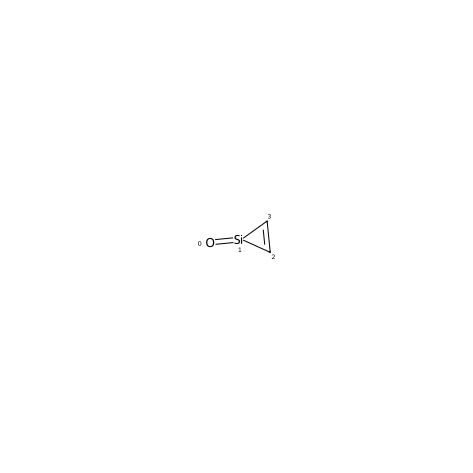 O=[si]1cc1